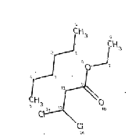 CCCCCC.CCOC(=O)CC(Cl)Cl